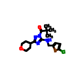 CC(C)(C)C(=O)n1nc(C2CCOCC2)nc1NCc1ccc(Cl)s1